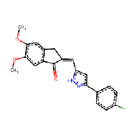 COc1cc2c(cc1OC)C(=O)C(=Cc1cc(-c3ccc(F)cc3)n[nH]1)C2